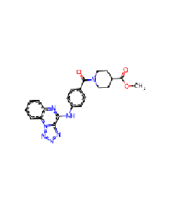 COC(=O)C1CCN(C(=O)c2ccc(Nc3nc4ccccc4n4nnnc34)cc2)CC1